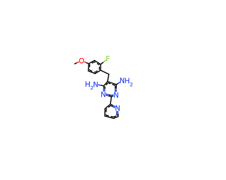 COc1ccc(Cc2c(N)nc(-c3ccccn3)nc2N)c(F)c1